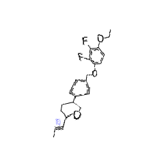 C/C=C/C1CCC(c2ccc(COc3ccc(OCC)c(F)c3F)cc2)CO1